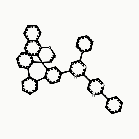 c1ccc(-c2cc(-c3ccc4c(c3)C3(c5ccccc5Sc5c3ccc3ccccc53)c3ccccc3-c3ccccc3-4)nc(-c3cnc(-c4ccccc4)nc3)n2)cc1